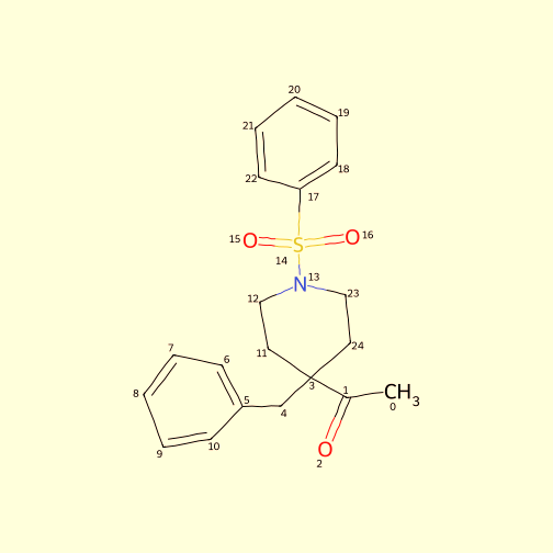 CC(=O)C1(Cc2ccccc2)CCN(S(=O)(=O)c2ccccc2)CC1